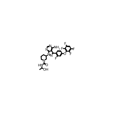 CC(O)NC(=O)N1CCCC(n2nc(-c3ccc(Oc4c(F)c(F)cc(F)c4F)cc3F)c3c(N)ncnc32)C1